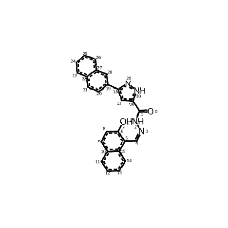 O=C(N/N=C\c1c(O)ccc2ccccc12)c1cc(-c2ccc3ccccc3c2)n[nH]1